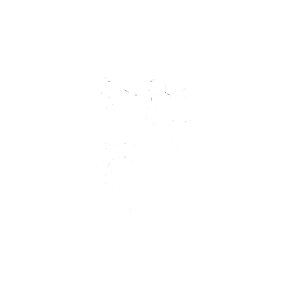 CCCCC(CC)CC(CS)C(=O)[O-].CCCCC(CC)CC(CS)C(=O)[O-].CCCCC(CC)CC(CS)C(=O)[O-].CCC[CH2][Sn+3]